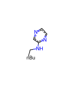 CCCCCNc1cnccn1